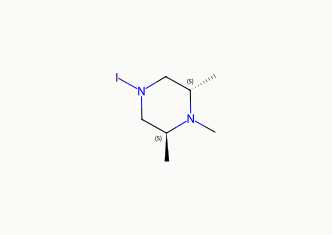 C[C@H]1CN(I)C[C@H](C)N1C